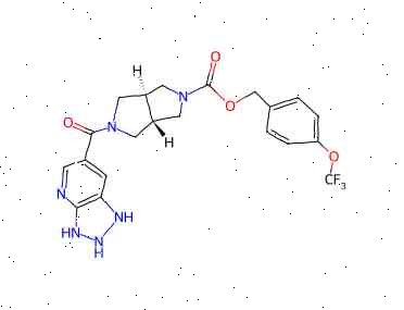 O=C(OCc1ccc(OC(F)(F)F)cc1)N1C[C@@H]2CN(C(=O)c3cnc4c(c3)NNN4)C[C@H]2C1